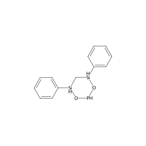 c1ccc([SiH]2C[SiH](c3ccccc3)OPO2)cc1